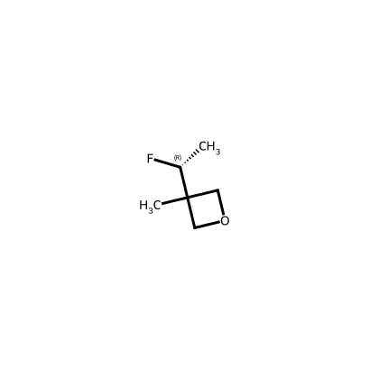 C[C@@H](F)C1(C)COC1